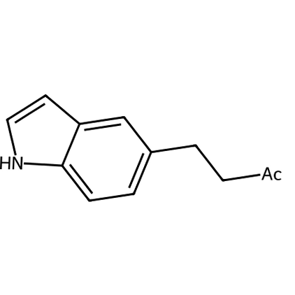 CC(=O)CCc1ccc2[nH]ccc2c1